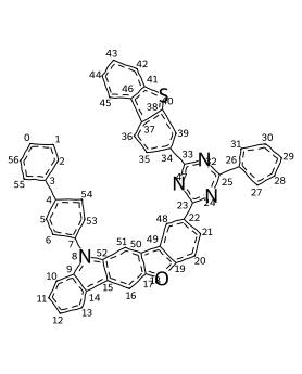 c1ccc(-c2ccc(-n3c4ccccc4c4cc5oc6ccc(-c7nc(-c8ccccc8)nc(-c8ccc9c(c8)sc8ccccc89)n7)cc6c5cc43)cc2)cc1